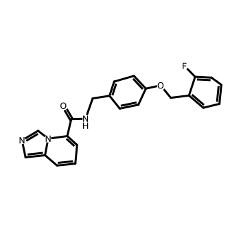 O=C(NCc1ccc(OCc2ccccc2F)cc1)c1cccc2cncn12